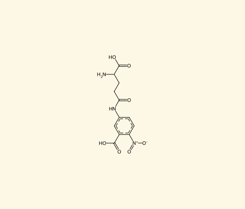 NC(CCC(=O)Nc1ccc([N+](=O)[O-])c(C(=O)O)c1)C(=O)O